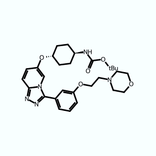 CC(C)(C)OC(=O)N[C@H]1CC[C@H](Oc2ccc3nnc(-c4cccc(OCCN5CCOCC5)c4)n3c2)CC1